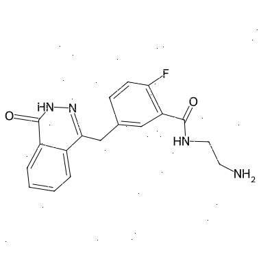 NCCNC(=O)c1cc(Cc2n[nH]c(=O)c3ccccc23)ccc1F